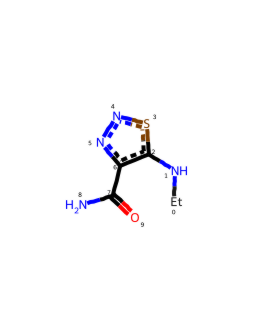 CCNc1snnc1C(N)=O